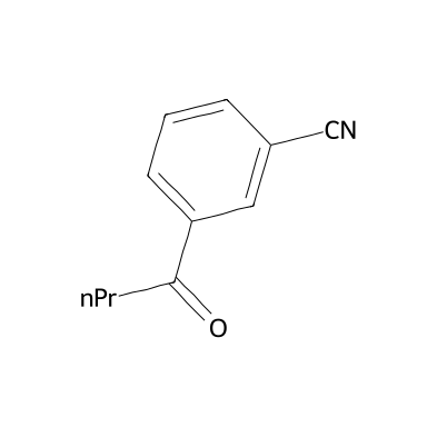 CCCC(=O)c1cccc(C#N)c1